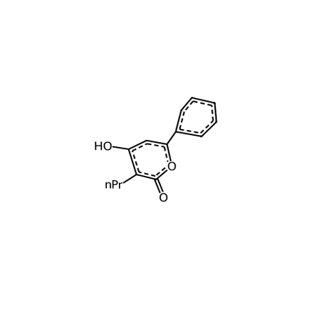 CCCc1c(O)cc(-c2ccccc2)oc1=O